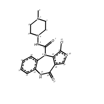 CN1CCN(NC(=O)N2c3ccccc3NC(=O)c3csc(Cl)c32)CC1